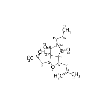 C=C(C)CC1OC(CC(=C)C)C2C(=O)N(CCC)C(=O)C12